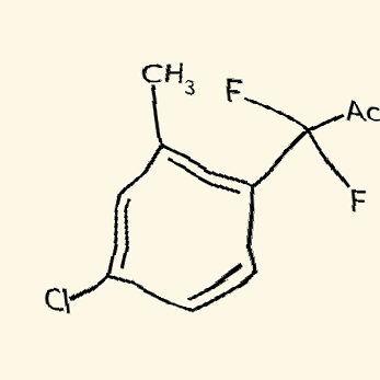 CC(=O)C(F)(F)c1ccc(Cl)cc1C